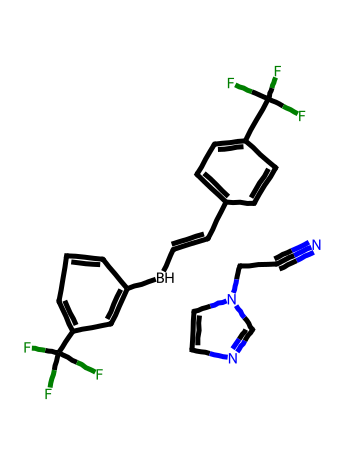 FC(F)(F)c1ccc(C=CBc2cccc(C(F)(F)F)c2)cc1.N#CCn1ccnc1